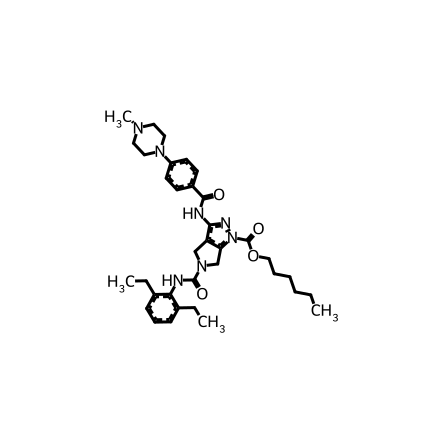 CCCCCCOC(=O)n1nc(NC(=O)c2ccc(N3CCN(C)CC3)cc2)c2c1CN(C(=O)Nc1c(CC)cccc1CC)C2